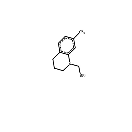 CC(C)(C)CN1CCCc2ccc(C(F)(F)F)cc21